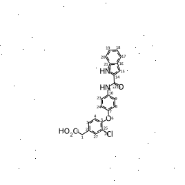 O=C(O)Cc1ccc(Oc2ccc(NC(=O)c3cc4ccccc4[nH]3)cc2)c(Cl)c1